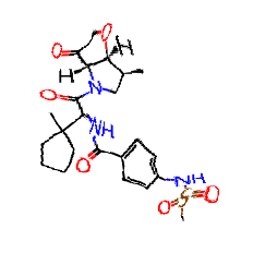 C[C@H]1CN(C(=O)[C@@H](NC(=O)c2ccc(NS(C)(=O)=O)cc2)C2(C)CCCC2)[C@@H]2C(=O)CO[C@@H]21